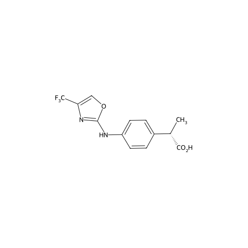 C[C@H](C(=O)O)c1ccc(Nc2nc(C(F)(F)F)co2)cc1